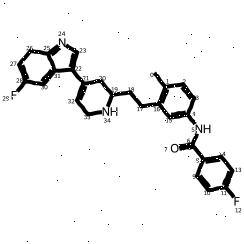 Cc1ccc(NC(=O)c2ccc(F)cc2)cc1CCC1CC(C2=CN=C3CC=C(F)C=C23)=CCN1